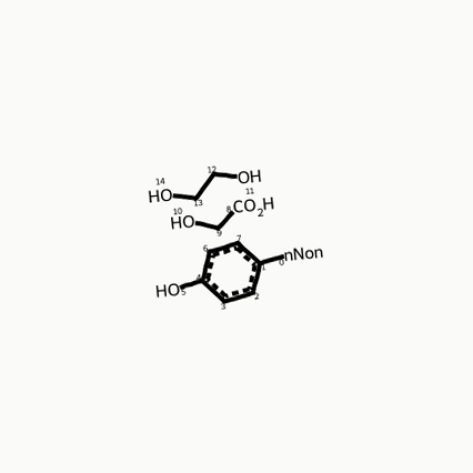 CCCCCCCCCc1ccc(O)cc1.O=C(O)CO.OCCO